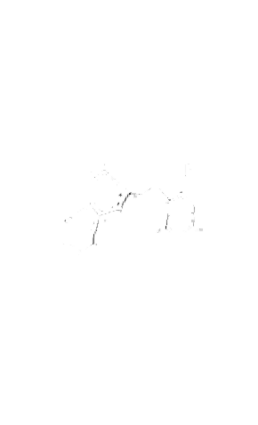 Brc1ccccc1Sc1cnc2ccccc2c1